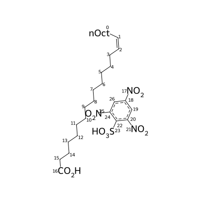 CCCCCCCC/C=C\CCCCCCCCCCCCCC(=O)O.O=[N+]([O-])c1cc([N+](=O)[O-])c(S(=O)(=O)O)c([N+](=O)[O-])c1